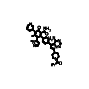 Cc1c(-c2ccnn2C)c(-c2ccc(-c3cc(C4CCN(C(=O)C(C)C)CC4)n4ncnc(N)c34)cc2)c(C(N)=O)c(=O)n1-c1cccnc1